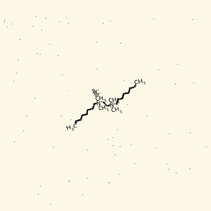 CCCCCCCC[N+](C)(C)CC[N+](C)(C)CCCCCCCC.[Br-].[Br-]